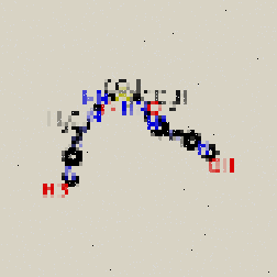 C=CC(/C=C/c1ccc(N2CCC(O)C2)cc1)=C\C=N\CC(=O)NC(CSSCC(NC(=O)C[n+]1ccc(/C=C/c2ccc(N3CCC(O)C3)cc2)cc1)C(=O)O)C(=O)O